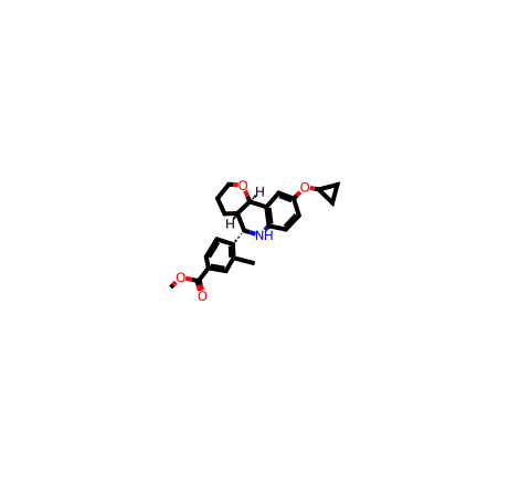 COC(=O)c1ccc([C@H]2Nc3ccc(OC4CC4)cc3[C@@H]3OCCC[C@H]23)c(C)c1